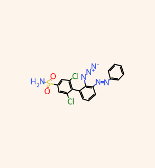 [N-]=[N+]=Nc1c(N=Nc2ccccc2)cccc1-c1c(Cl)cc(S(N)(=O)=O)cc1Cl